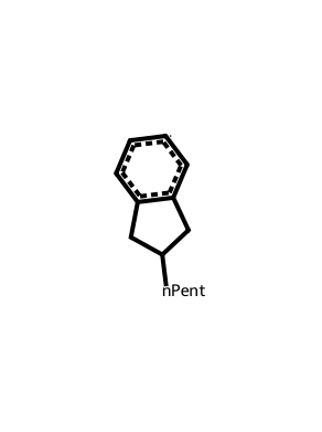 CCCCCC1Cc2c[c]ccc2C1